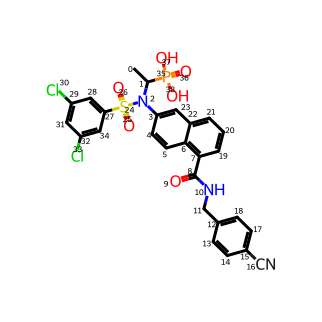 CC(N(c1ccc2c(C(=O)NCc3ccc(C#N)cc3)cccc2c1)S(=O)(=O)c1cc(Cl)cc(Cl)c1)P(=O)(O)O